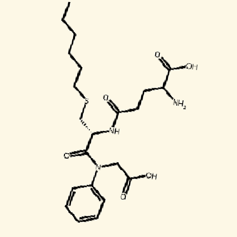 CCCCCCSC[C@H](NC(=O)CCC(N)C(=O)O)C(=O)N(CC(=O)O)c1ccccc1